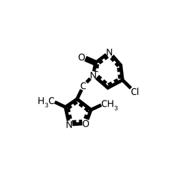 Cc1noc(C)c1Cn1cc(Cl)cnc1=O